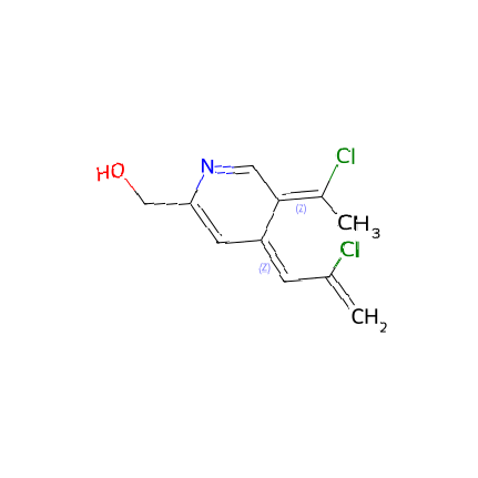 C=C(Cl)/C=c1/cc(CO)nc/c1=C(/C)Cl